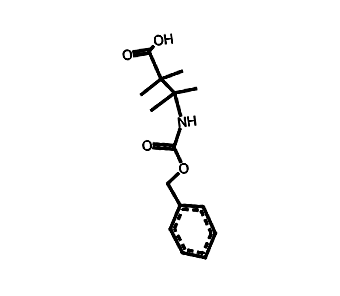 CC(C)(NC(=O)OCc1ccccc1)C(C)(C)C(=O)O